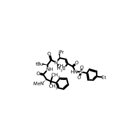 CCc1ccc(S(=O)(=O)NC(=O)/C(C)=C/[C@H](C(C)C)N(C)C(=O)[C@@H](NC(=O)[C@@H](NC)C(C)(C)c2ccccc2)C(C)(C)C)cc1